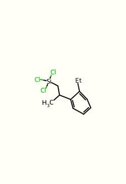 CCc1ccccc1C(C)C[Si](Cl)(Cl)Cl